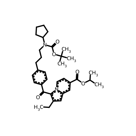 CCc1cc2cc(C(=O)OC(C)C)ccn2c1C(=O)c1ccc(CCCN(C(=O)OC(C)(C)C)C2CCCC2)cc1